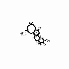 CC1(C)CCC2C(=O)C=C3[C@@]4(C)C=C(C#N)C(=O)C(C)(C)[C@@H]4CC[C@@]3(C)[C@]2(C)CC[C@@](C)(C(=O)O)CC1